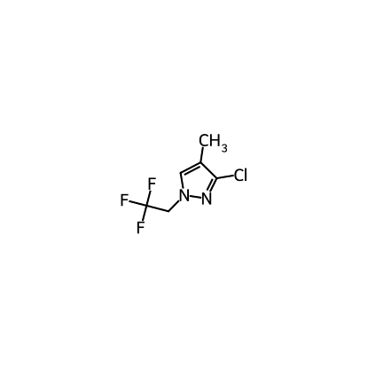 Cc1cn(CC(F)(F)F)nc1Cl